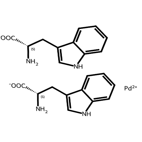 N[C@@H](Cc1c[nH]c2ccccc12)C(=O)[O-].N[C@@H](Cc1c[nH]c2ccccc12)C(=O)[O-].[Pd+2]